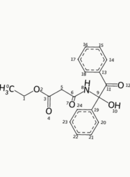 CCOC(=O)CC(=O)NC(O)(C(=O)c1ccccc1)c1ccccc1